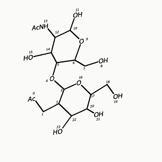 CC(=O)CC1C(OC2C(CO)OC(O)C(NC(C)=O)C2O)OC(CO)C(O)C1O